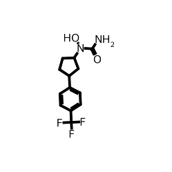 NC(=O)N(O)C1CCC(c2ccc(C(F)(F)F)cc2)C1